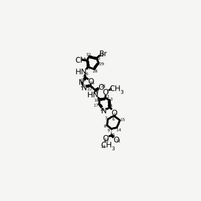 COc1cc(O[C@H]2CC[C@@H](C(=O)OC)CC2)ncc1NC(=O)c1nnc(Nc2ccc(Br)cc2Cl)o1